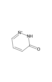 O=C1C=CC=[N+]N1